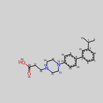 CC(C)c1cccc(-c2ccc(N3CCN(CCC(=O)O)CC3)cc2)c1